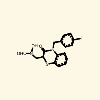 O=CN(O)CC1Sc2ccccc2N(Cc2ccc(F)cc2)C1=O